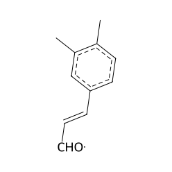 Cc1ccc(C=C[C]=O)cc1C